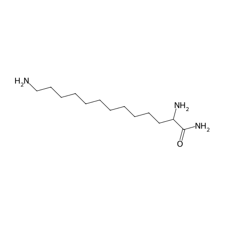 NCCCCCCCCCCCC(N)C(N)=O